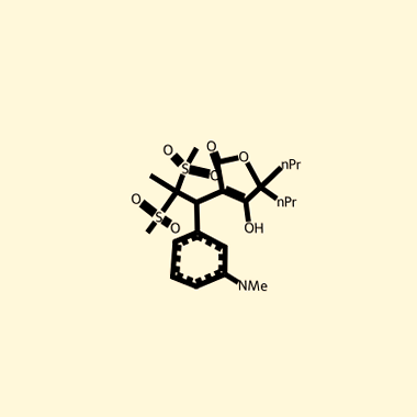 CCCC1(CCC)OC(=O)C(C(c2cccc(NC)c2)C(C)(S(C)(=O)=O)S(C)(=O)=O)=C1O